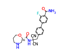 N#CC(C#N)(Cc1ccc(-c2ccc(C(N)=O)c(F)c2)cc1)NC(=O)[C@@H]1CNCCCO1